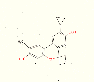 Cc1cc2c(cc1O)OC1(CCC1)c1cc(O)c(C3CC3)cc1-2